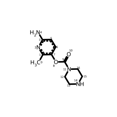 Cc1nc(N)ccc1OC(=O)N1CCNCC1